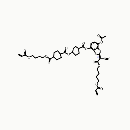 [C-]#[N+]/C(C(=O)OCCCCOC(=O)C=C)=C1\Sc2c(OC(C)=O)ccc(OC(=O)C3CCC(OC(=O)C4CCC(C(=O)OCCCCOC(=O)C=C)CC4)CC3)c2S1